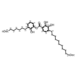 CCCCCCCCCCCCCCCCCCCCc1ccc(C(=O)Oc2cccc(CCCCCCCCCCCCCCCC)c2O)c(O)c1O